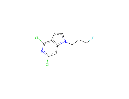 FCCCn1ccc2c(Cl)nc(Cl)cc21